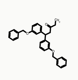 CCC(=O)CC(c1cccc(OCc2ccccc2)c1)c1cccc(OCc2ccccc2)c1